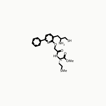 COC(=O)[C@H](CCSC)NC(=O)COc1nc(-c2ccccc2)ccc1CC(N)CS